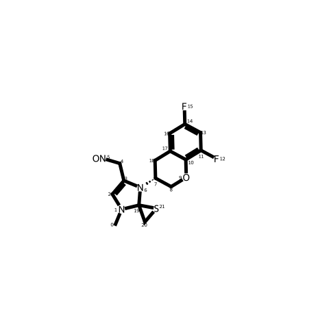 CN1C=C(CN=O)N([C@H]2COc3c(F)cc(F)cc3C2)C12CS2